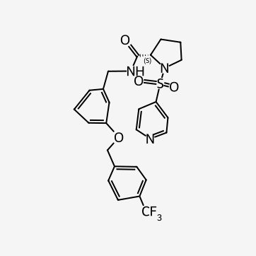 O=C(NCc1cccc(OCc2ccc(C(F)(F)F)cc2)c1)[C@@H]1CCCN1S(=O)(=O)c1ccncc1